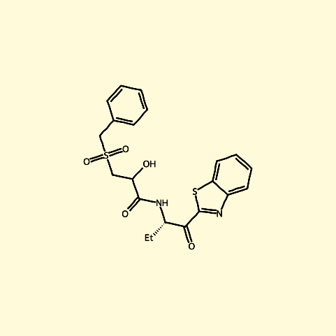 CC[C@H](NC(=O)C(O)CS(=O)(=O)Cc1ccccc1)C(=O)c1nc2ccccc2s1